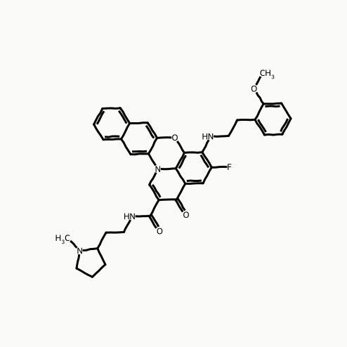 COc1ccccc1CCNc1c(F)cc2c(=O)c(C(=O)NCCC3CCCN3C)cn3c2c1Oc1cc2ccccc2cc1-3